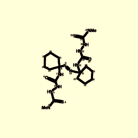 CNC(=S)NNC(=O)NC1(N=NC2(NC(=O)NNC(=S)NC)CCCCC2)CCCCC1